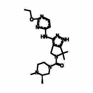 CCOc1nccc(Nc2n[nH]c3c2CN(C(=O)N2CCN(C)[C@H](C)C2)C3(C)C)n1